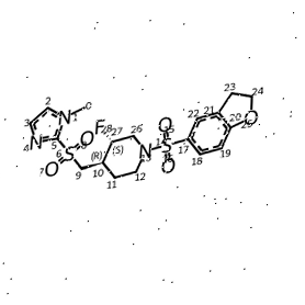 Cn1ccnc1S(=O)(=O)C[C@@H]1CCN(S(=O)(=O)c2ccc3c(c2)CCO3)C[C@H]1F